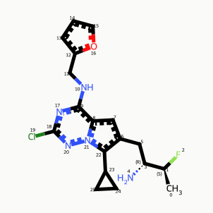 C[C@H](F)[C@H](N)Cc1cc2c(NCc3ccco3)nc(Cl)nn2c1C1CC1